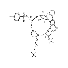 Cc1ccc(S(=O)(=O)OC[C@@H]2COc3ccc(OCOCC[Si](C)(C)C)c(c3)C[C@H](C(=O)OC(C)(C)C)Oc3ncnc4sc(C5=CCCC5)c(c34)-c3c(C)c(Cl)c(c(Cl)c3C)O2)cc1